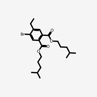 CCc1cc(C(=O)OCCCC(C)C)c(C(=O)OCCCC(C)C)cc1Br